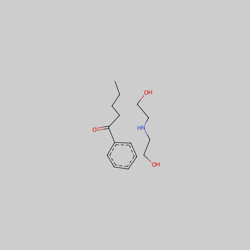 CCCCC(=O)c1ccccc1.OCCNCCO